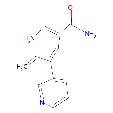 C=C/C(=C\C(=C/N)C(N)=O)c1cccnc1